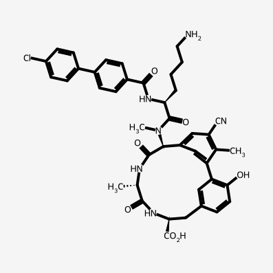 Cc1c(C#N)cc2cc1-c1cc(ccc1O)C[C@@H](C(=O)O)NC(=O)[C@H](C)NC(=O)[C@H]2N(C)C(=O)[C@H](CCCCN)NC(=O)c1ccc(-c2ccc(Cl)cc2)cc1